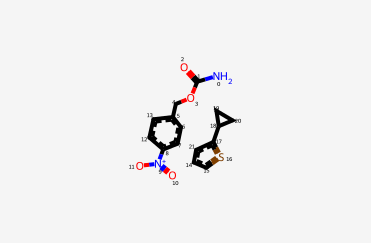 NC(=O)OCc1ccc([N+](=O)[O-])cc1.c1csc(C2CC2)c1